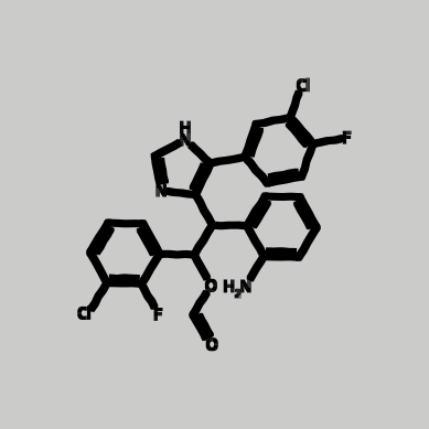 Nc1ccccc1C(c1nc[nH]c1-c1ccc(F)c(Cl)c1)C(OC=O)c1cccc(Cl)c1F